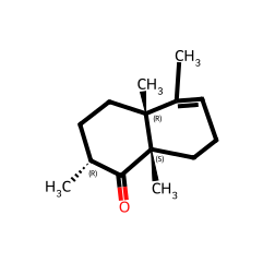 CC1=CCC[C@]2(C)C(=O)[C@H](C)CC[C@]12C